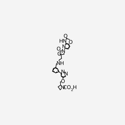 O=C1COc2ccc(N3CC(CCNCc4cccc(-c5cc(OCC6CCN6C(=O)O)cnn5)c4)OC3=O)nc2N1